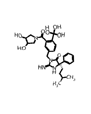 CC(C)CC[C@]1(c2ccccc2)NC(=N)N(Cc2ccc(C(O)(O)O)c(C(=O)N3CC(O)C(O)C3)c2)C1=O